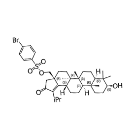 CC(C)C1=C2[C@H]3CC[C@@H]4[C@@]5(C)CC[C@H](O)C(C)(C)[C@@H]5CC[C@@]4(C)[C@]3(C)CC[C@@]2(COS(=O)(=O)c2ccc(Br)cc2)CC1=O